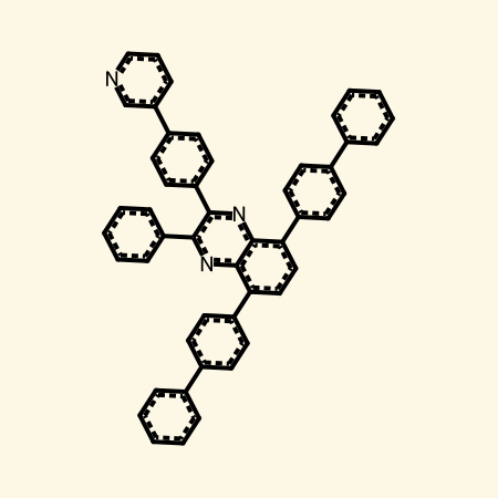 c1ccc(-c2ccc(-c3ccc(-c4ccc(-c5ccccc5)cc4)c4nc(-c5ccc(-c6cccnc6)cc5)c(-c5ccccc5)nc34)cc2)cc1